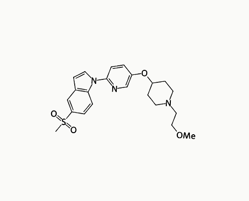 COCCN1CCC(Oc2ccc(-n3ccc4cc(S(C)(=O)=O)ccc43)nc2)CC1